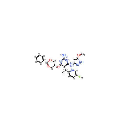 CC(C)Oc1cc(Nc2nc(N)nc(O[C@H]3CO[C@@H](c4ccccc4)OC3)c2[C@H](C)c2ccc(F)cn2)n[nH]1